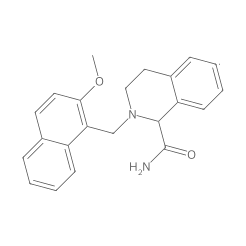 COc1ccc2ccccc2c1CN1CCc2c[c]ccc2C1C(N)=O